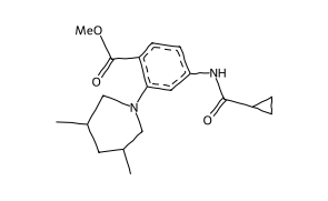 COC(=O)c1ccc(NC(=O)C2CC2)cc1N1CC(C)CC(C)C1